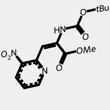 COC(=O)/C(=C\c1ncccc1[N+](=O)[O-])NC(=O)OC(C)(C)C